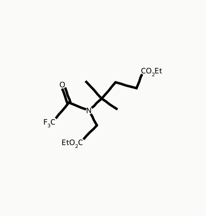 CCOC(=O)CCC(C)(C)N(CC(=O)OCC)C(=O)C(F)(F)F